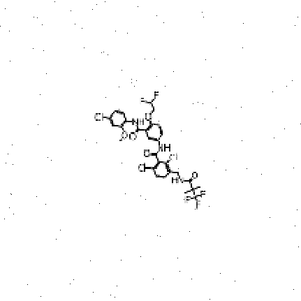 COc1cc(Cl)ccc1NC(=O)c1cc(NC(=O)c2c(Cl)ccc(CNC(=O)C(C)(C)C(F)(F)F)c2Cl)ccc1OCC(F)F